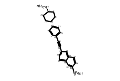 CCCCCCC[C@H]1CC[C@H](c2ccc(C#Cc3ccc4cc(CCCCC)ccc4c3)cc2)CC1